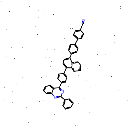 N#Cc1ccc(-c2ccc(-c3ccc(-c4ccc(-c5nc(-c6ccccc6)nc6ccccc56)cc4)c4ccccc34)cc2)cc1